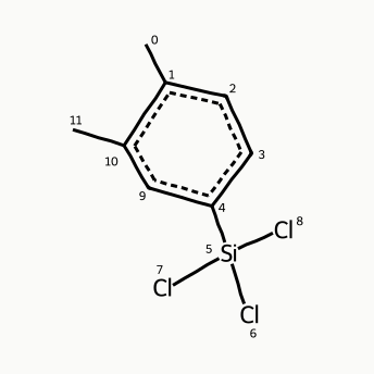 Cc1ccc([Si](Cl)(Cl)Cl)cc1C